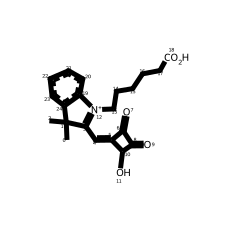 CC1(C)C(/C=C2\C(=O)C(=O)C2O)=[N+](CCCCCC(=O)O)c2ccccc21